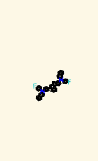 CC1(C)c2cc(N(c3ccc(F)cc3)c3ccc4ccccc4c3)ccc2-c2c1cc(-c1ccc(N(c3ccc(F)cc3)c3ccc4ccccc4c3)cc1)c1ccccc21